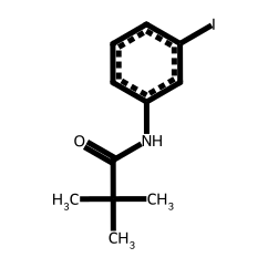 CC(C)(C)C(=O)Nc1cccc(I)c1